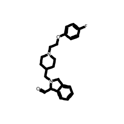 O=CC1c2ccccc2CN1CC1CCN(CCOc2ccc(F)cc2)CC1